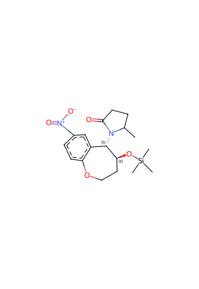 CC1CCC(=O)N1[C@H]1c2cc([N+](=O)[O-])ccc2OCC[C@@H]1O[Si](C)(C)C